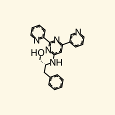 OC[C@@H](Cc1ccccc1)Nc1cc(-c2cccnc2)nc(-c2ccccn2)n1